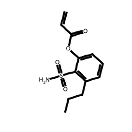 C=CC(=O)Oc1cccc(CCC)c1S(N)(=O)=O